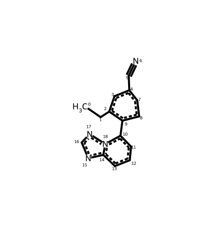 CCc1cc(C#N)ccc1-c1cccc2ncnn12